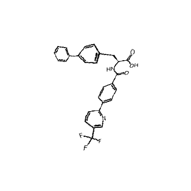 O=C(N[C@@H](Cc1ccc(-c2ccccc2)cc1)C(=O)O)c1ccc(-c2ccc(C(F)(F)F)cn2)cc1